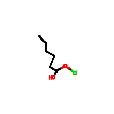 CCCCCB(O)OCl